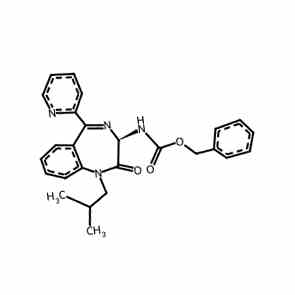 CC(C)CN1C(=O)[C@H](NC(=O)OCc2ccccc2)N=C(c2ccccn2)c2ccccc21